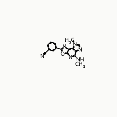 CNc1nc2oc(-c3cccc(C#N)c3)nc2c2c1ncn2C